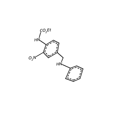 CCOC(=O)Nc1ccc(CNc2ccccc2)cc1[N+](=O)[O-]